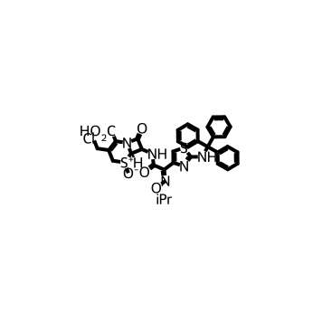 CC(C)O/N=C(\C(=O)NC1C(=O)N2C(C(=O)O)=C(CCl)C[S+]([O-])[C@@H]12)c1csc(NC(c2ccccc2)(c2ccccc2)c2ccccc2)n1